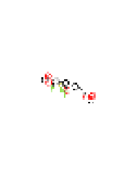 C=C(C)C(=O)OCCCc1ccc(-c2ccc3c(sc4c(F)c(OC(=O)C(=C)C)ccc43)c2OC(F)(F)F)cc1